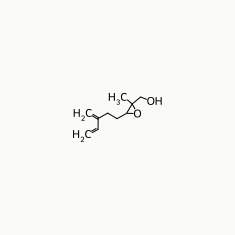 C=CC(=C)CCC1OC1(C)CO